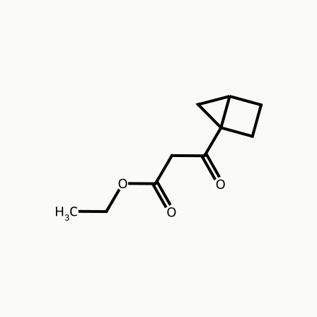 CCOC(=O)CC(=O)C12CCC1C2